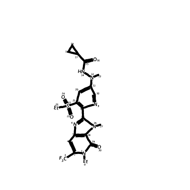 CCn1c(C(F)(F)F)cc2nc(-c3ncc(N(C)NC(=O)C4CC4)cc3S(=O)(=O)CC)n(C)c2c1=O